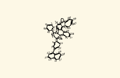 c1ccc(C2=NC(c3ccc(-c4cccc5ccccc45)cc3)=NC(c3ccccc3-c3cccc4oc5ccccc5c34)N2)cc1